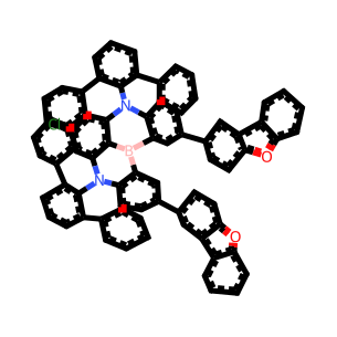 Clc1cc2c3c(c1)N(c1c(-c4ccccc4)cccc1-c1ccccc1)c1ccc(-c4ccc5oc6ccccc6c5c4)cc1B3c1cc(-c3ccc4oc5ccccc5c4c3)ccc1N2c1c(-c2ccccc2)cccc1-c1ccccc1